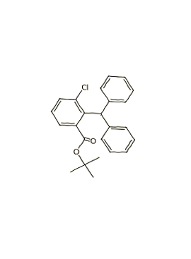 CC(C)(C)OC(=O)c1cccc(Cl)c1[C](c1ccccc1)c1ccccc1